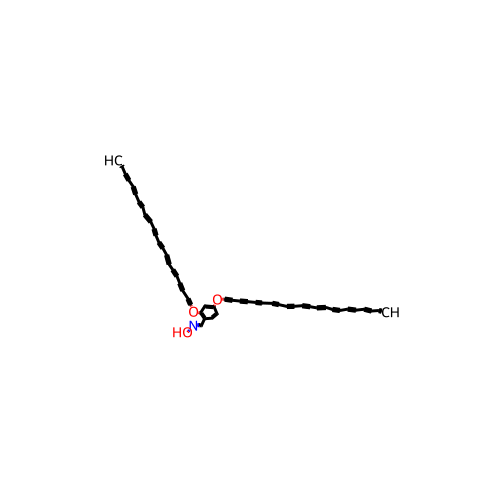 C#CC#CC#CC#CC#CC#CC#CC#CC#CC#CC#COc1ccc(C=NO)c(OC#CC#CC#CC#CC#CC#CC#CC#CC#CC#CC#C)c1